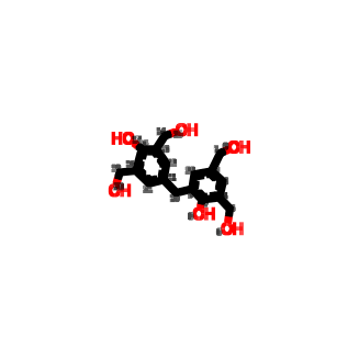 OCc1cc(CO)c(O)c(Cc2cc(CO)c(O)c(CO)c2)c1